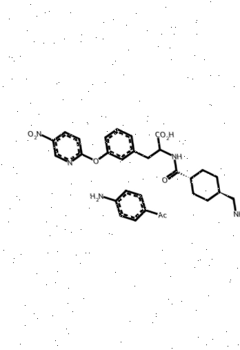 CC(=O)c1ccc(N)cc1.NC[C@H]1CC[C@H](C(=O)NC(Cc2cccc(Oc3ccc([N+](=O)[O-])cn3)c2)C(=O)O)CC1